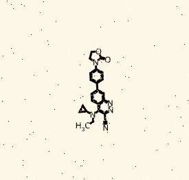 CCN(c1c(C#N)nnc2cc(-c3ccc(N4CCOC4=O)cc3)ccc12)C1CC1